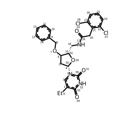 CCc1cn([C@@H]2CC(OCc3ccccc3)[C@H](CNC(=O)Cc3c(Cl)cccc3Cl)O2)c(=O)[nH]c1=O